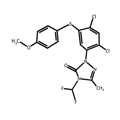 COc1ccc(Sc2cc(-n3nc(C)n(C(F)F)c3=O)c(Cl)cc2Cl)cc1